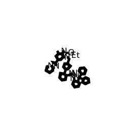 CCOc1nc2c(C)cc(-c3cn4ccccc4n3)cc2n1Cc1ccc(-c2ccccc2-c2nnn(C(c3ccccc3)(c3ccccc3)c3ccccc3)n2)cc1